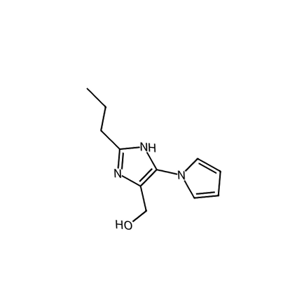 CCCc1nc(CO)c(-n2cccc2)[nH]1